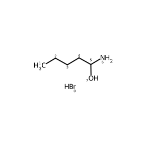 Br.CCCCC(N)O